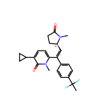 CN1C(=O)CC[C@@H]1/C=C(/c1ccc(C(C)(F)F)cc1)c1ccc(C2CC2)c(=O)n1C